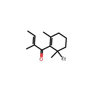 CC=C(C)C(=O)C1=C(C)CCCC1(C)CC